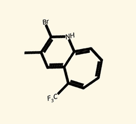 CC1=C(Br)NC2=CC=CC=C(C(F)(F)F)C2=C1